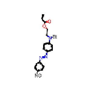 C=CC(=O)OCCN(CC)c1ccc(/N=N/c2ccc(N=O)cc2)cc1